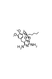 CCCCCS(=O)(=O)Oc1nc(N)nc(N)c1Cc1cc(OC)c(OC)c(OC)c1